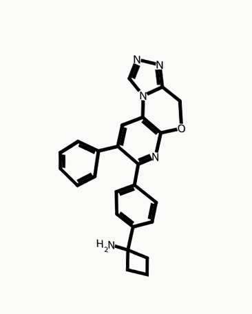 NC1(c2ccc(-c3nc4c(cc3-c3ccccc3)-n3cnnc3CO4)cc2)CCC1